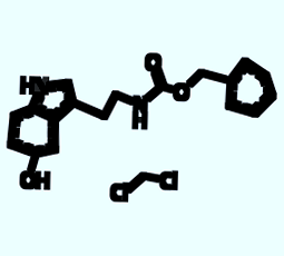 ClCCl.O=C(NCCc1c[nH]c2ccc(O)cc12)OCc1ccccc1